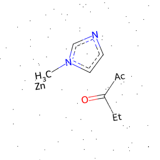 CCC(=O)C(C)=O.Cn1ccnc1.[Zn]